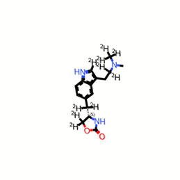 [2H]c1[nH]c2ccc(C([2H])([2H])[C@@H]3NC(=O)OC3([2H])[2H])cc2c1CC([2H])([2H])N(C)C([2H])([2H])[2H]